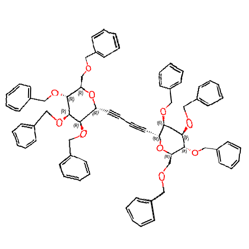 C(C#C[C@H]1O[C@H](COCc2ccccc2)[C@@H](OCc2ccccc2)[C@H](OCc2ccccc2)[C@@H]1OCc1ccccc1)#C[C@H]1O[C@H](COCc2ccccc2)[C@@H](OCc2ccccc2)[C@H](OCc2ccccc2)[C@@H]1OCc1ccccc1